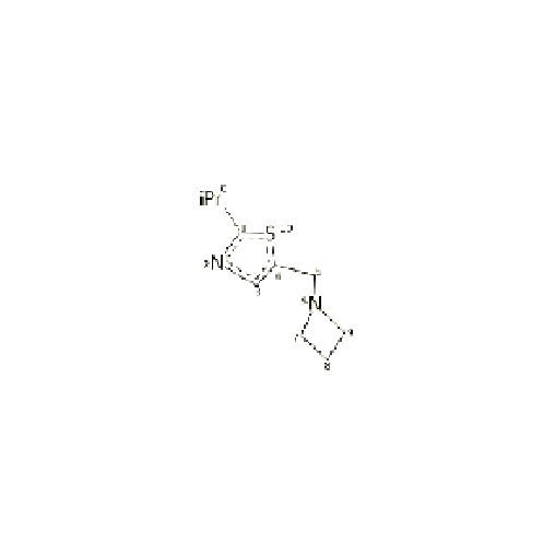 CC(C)c1ncc(CN2CCC2)s1